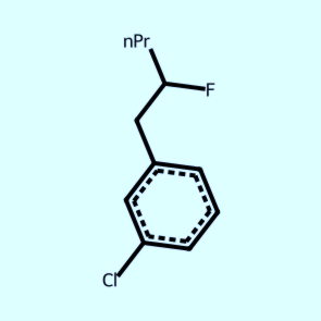 [CH2]CCC(F)Cc1cccc(Cl)c1